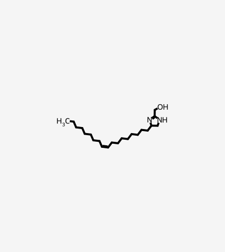 CCCCCCCC/C=C\CCCCCCCCC1CNC(CO)=N1